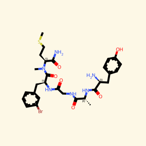 CSCC[C@@H](C(N)=O)N(C)C(=O)[C@H](Cc1cccc(Br)c1)NC(=O)CNC(=O)[C@@H](C)NC(=O)[C@@H](N)Cc1ccc(O)cc1